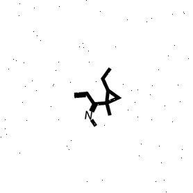 C=C/C(=N/C)C1(C)CC1CC